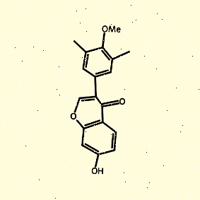 COc1c(C)cc(-c2coc3cc(O)ccc3c2=O)cc1C